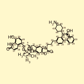 CC(C)(C)[Si](C)(C)O[C@@H](CNCc1ccc2oc(=O)n(CCCc3ccc(-c4ccccc4)c(N(C(=O)O)C4CCC(N)CC4)c3)c2c1)c1ccc(O)c2[nH]c(=O)ccc12